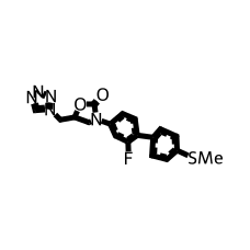 CSc1ccc(-c2ccc(N3CC(Cn4cnnn4)OC3=O)cc2F)cc1